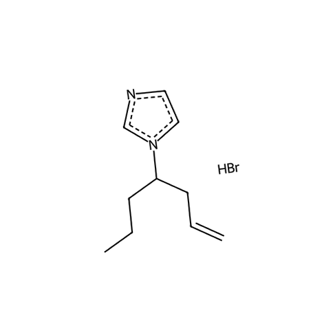 Br.C=CCC(CCC)n1ccnc1